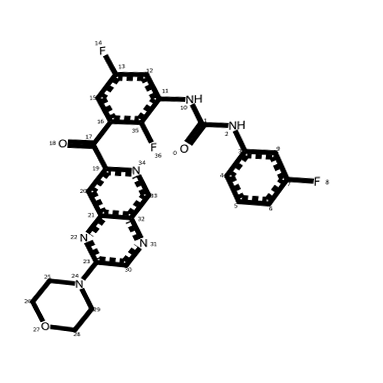 O=C(Nc1cccc(F)c1)Nc1cc(F)cc(C(=O)c2cc3nc(N4CCOCC4)cnc3cn2)c1F